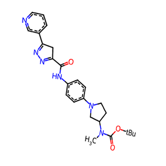 CN(C(=O)OC(C)(C)C)C1CCN(c2ccc(NC(=O)C3=NN=C(c4cccnc4)C3)cc2)C1